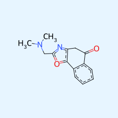 CN(C)Cc1nc2c(o1)-c1ccccc1C(=O)C2